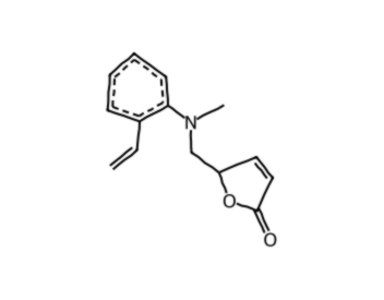 C=Cc1ccccc1N(C)CC1C=CC(=O)O1